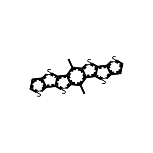 Cc1c2sc3c4sccc4sc3c2c(C)c2sc3c4sccc4sc3c12